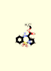 CCOC(=O)C1Nc2ccccc2S(=O)(=O)n2cccc21